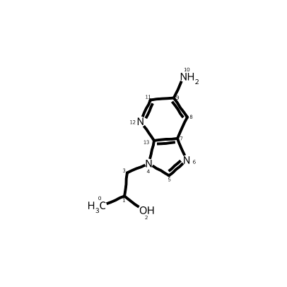 CC(O)Cn1cnc2cc(N)cnc21